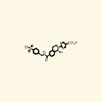 CCS(=O)(=O)c1ccc(CNC(=O)c2ccc3c(c2)CCN(c2ncc(C(=O)O)cn2)[C@H]3C(C)C)cc1